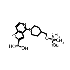 CC(C)(C)[Si](C)(C)OCC1CCN(c2nccc3oc(B(O)O)cc23)CC1